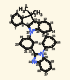 CC1(C)c2ccccc2-c2c1c1ccccc1n2-c1cccc(-c2nc3ccccc3n2-c2ccccc2)c1